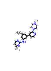 CCN1CCN(c2cc(-c3cc(C)cc(Nc4nccc(C(F)(F)F)n4)c3)ccn2)CC1